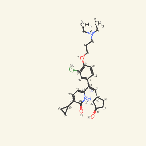 CCN(CC)CCCOc1ccc(/C(=C/[C@H]2CCC(=O)C2)c2ccc(C3CC3)c(=O)[nH]2)cc1Cl